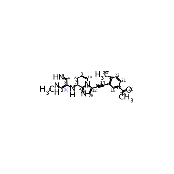 CN/C=C(\C=N)Nc1cccn2c(C#Cc3cc(C(C)=O)ccc3C)cnc12